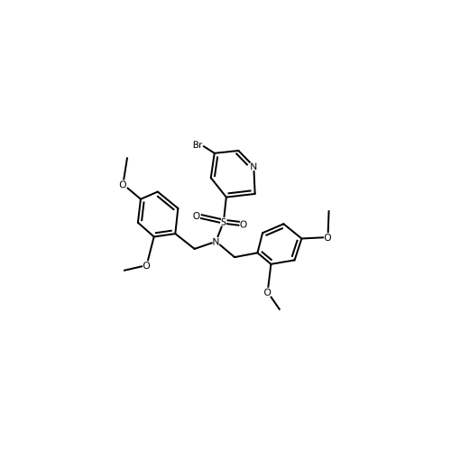 COc1ccc(CN(Cc2ccc(OC)cc2OC)S(=O)(=O)c2cncc(Br)c2)c(OC)c1